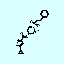 C[C@@H]1C[C@H](NC(=O)c2cc(C3CC3)on2)CCN1S(=O)(=O)CCc1ccccc1